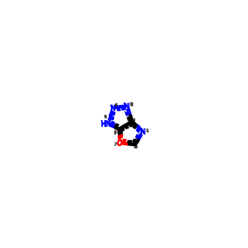 c1nc2nn[nH]c2o1